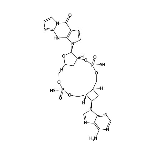 Nc1ncnc2c1ncn2[C@@H]1C[C@@H]2CO[P@@](=O)(S)O[C@@H]3C[C@@H](CO[P@@](=O)(S)OC[C@H]21)O[C@H]3n1cnc2c(=O)n3ccnc3[nH]c21